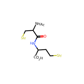 CC(=O)NC(CS)C(=O)NC(CCS)C(=O)O